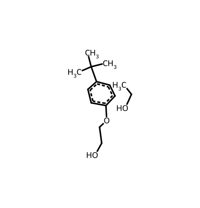 CC(C)(C)c1ccc(OCCO)cc1.CCO